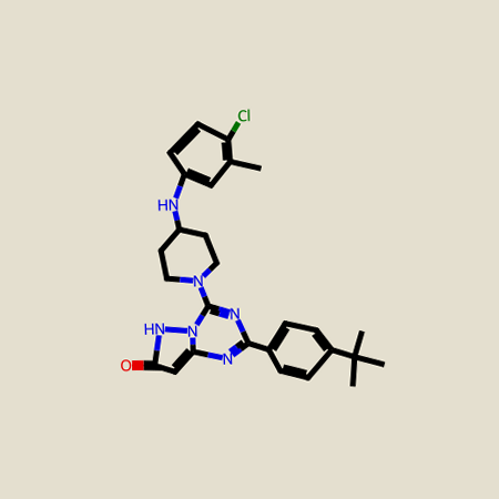 Cc1cc(NC2CCN(c3nc(-c4ccc(C(C)(C)C)cc4)nc4cc(=O)[nH]n34)CC2)ccc1Cl